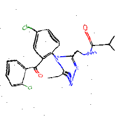 Cc1nnc(CNC(=O)C(C)C)n1-c1ccc(Cl)cc1C(=O)c1ccccc1Cl